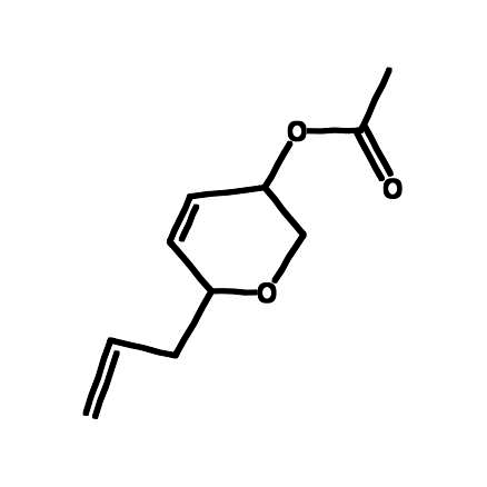 C=CCC1C=CC(OC(C)=O)CO1